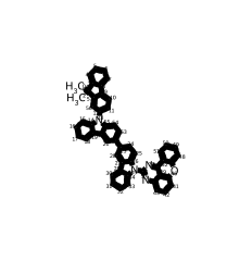 CC1(C)c2ccccc2-c2ccc(-n3c4ccccc4c4cc(-c5ccc6c(c5)c5ccccc5n6-c5nc6c7c(cccc7n5)Oc5ccccc5-6)ccc43)cc21